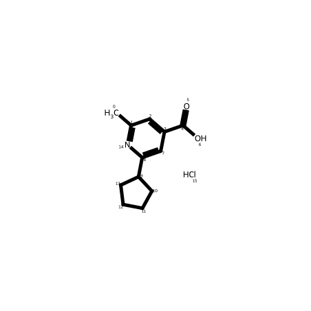 Cc1cc(C(=O)O)cc(C2CCCC2)n1.Cl